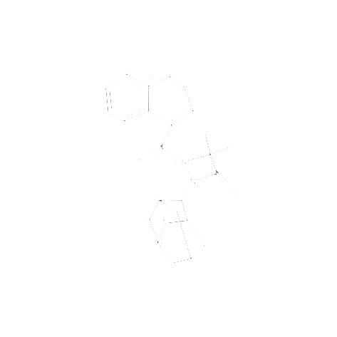 CC1(C)C(=O)N(C2C3CC4CC(C3)CC2C4)N1C(=O)c1cccc2ccccc12